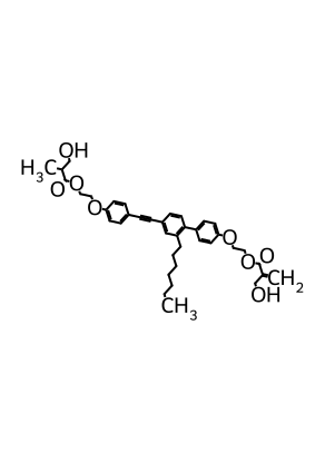 C=C(CO)C(=O)OCCOc1ccc(-c2ccc(C#Cc3ccc(OCCOC(=O)C(C)CO)cc3)cc2CCCCCCC)cc1